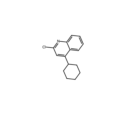 Clc1cc(C2CCCCC2)c2ccccc2n1